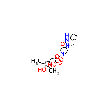 CCc1cc(CC(OC(=O)N2CCC(N3CCc4ccccc4NC3=O)CC2)C(=O)O)cc(C)c1O